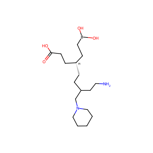 NCCC(CC[C@@H](CCB(O)O)CCC(=O)O)CN1CCCCC1